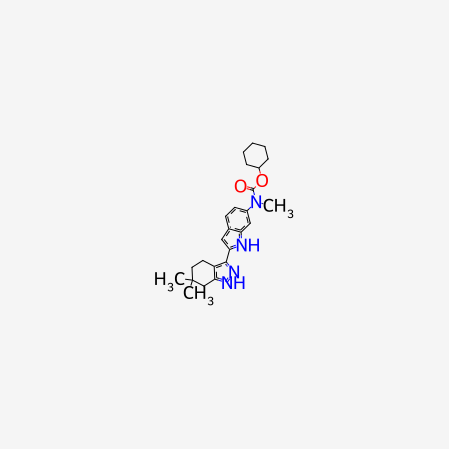 CN(C(=O)OC1CCCCC1)c1ccc2cc(-c3n[nH]c4c3CCC(C)(C)C4)[nH]c2c1